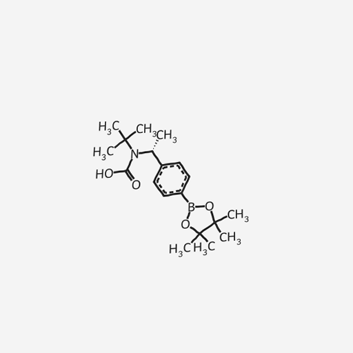 C[C@H](c1ccc(B2OC(C)(C)C(C)(C)O2)cc1)N(C(=O)O)C(C)(C)C